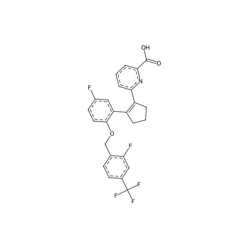 O=C(O)c1cccc(C2=C(c3cc(F)ccc3OCc3ccc(C(F)(F)F)cc3F)CCC2)n1